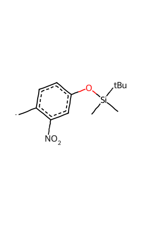 [CH2]c1ccc(O[Si](C)(C)C(C)(C)C)cc1[N+](=O)[O-]